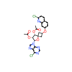 CC(=O)O[C@H]1[C@H](n2cnc3c(Cl)ncnc32)O[C@]2(C[C@H](Oc3ccc4ccc(Cl)nc4c3)C2)[C@H]1OC(C)=O